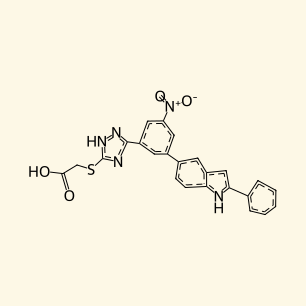 O=C(O)CSc1nc(-c2cc(-c3ccc4[nH]c(-c5ccccc5)cc4c3)cc([N+](=O)[O-])c2)n[nH]1